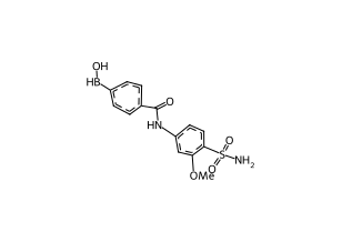 COc1cc(NC(=O)c2ccc(BO)cc2)ccc1S(N)(=O)=O